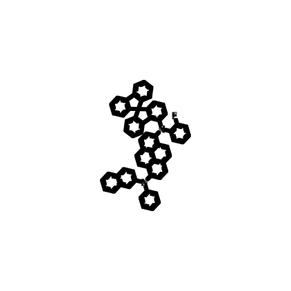 Fc1ccccc1N(c1cccc2c1-c1ccccc1C21c2ccccc2-c2ccccc21)c1ccc2ccc3c(N(c4ccccc4)c4ccc5ccccc5c4)ccc4ccc1c2c43